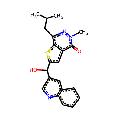 CC(C)Cc1nn(C)c(=O)c2cc(C(O)c3cnc4ccccc4c3)sc12